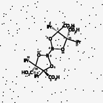 CC(C)[C@@]1(C(=O)O)OB(B2O[C@](C(=O)O)(C(C)C)[C@@](C(=O)O)(C(C)C)O2)O[C@]1(C(=O)O)C(C)C